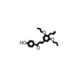 C=CCc1c(OCCC)cc(C=CC(=O)c2ccc(O)cc2)cc1OCCC